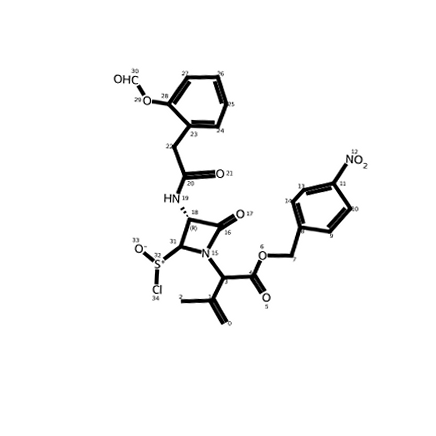 C=C(C)C(C(=O)OCc1ccc([N+](=O)[O-])cc1)N1C(=O)[C@@H](NC(=O)Cc2ccccc2OC=O)C1[S+]([O-])Cl